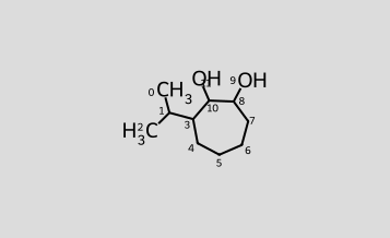 CC(C)C1CCCCC(O)C1O